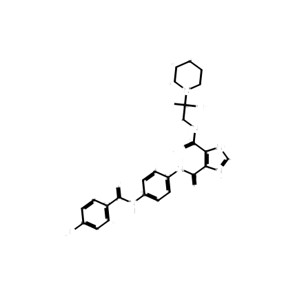 CC(C)(CNC(=O)c1[nH]cnc1C(=O)Nc1ccc(NC(=O)c2ccc(F)cc2)cc1)N1CCCCC1